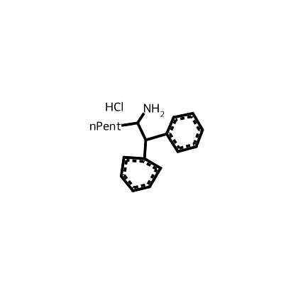 CCCCCC(N)C(c1ccccc1)c1ccccc1.Cl